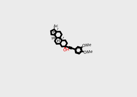 COc1ccc(C#CC2(O)CC[C@@]3(C)C(CC[C@H]4[C@@H]5CC[C@H](C(C)=O)[C@@]5(C)CC[C@@H]43)C2)cc1OC